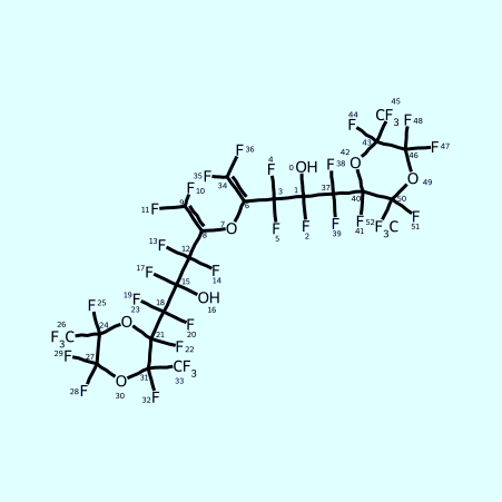 OC(F)(C(F)(F)C(OC(=C(F)F)C(F)(F)C(O)(F)C(F)(F)C1(F)OC(F)(C(F)(F)F)C(F)(F)OC1(F)C(F)(F)F)=C(F)F)C(F)(F)C1(F)OC(F)(C(F)(F)F)C(F)(F)OC1(F)C(F)(F)F